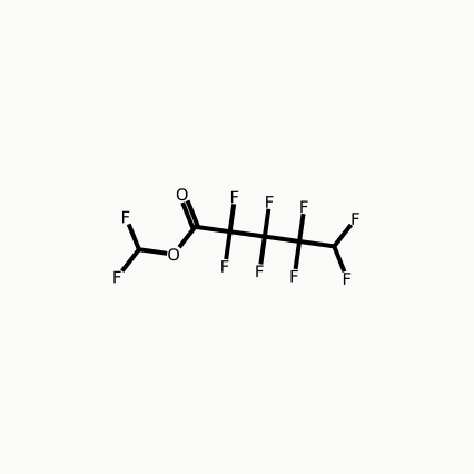 O=C(OC(F)F)C(F)(F)C(F)(F)C(F)(F)C(F)F